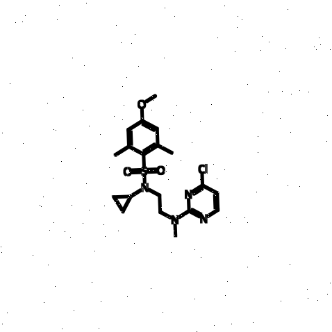 COc1cc(C)c(S(=O)(=O)N(CCN(C)c2nccc(Cl)n2)C2CC2)c(C)c1